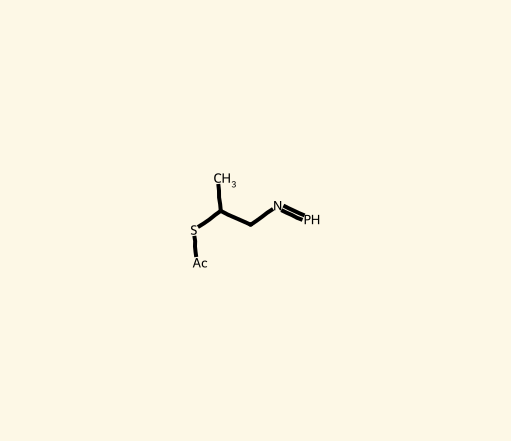 CC(=O)SC(C)CN=P